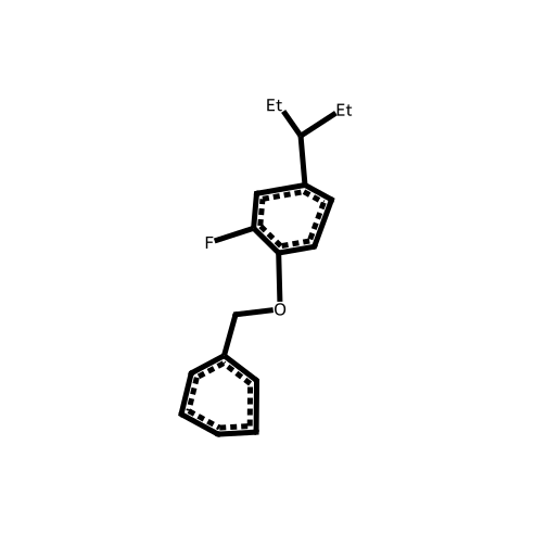 CCC(CC)c1ccc(OCc2ccccc2)c(F)c1